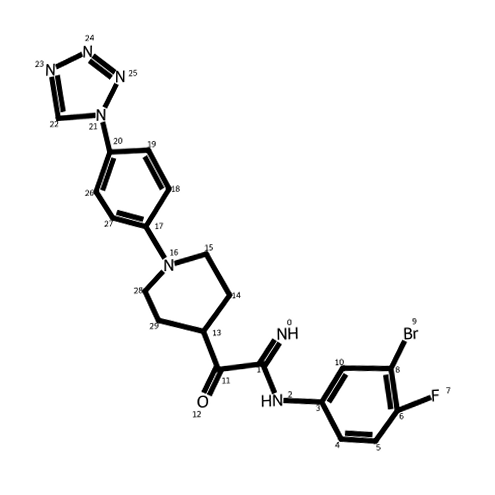 N=C(Nc1ccc(F)c(Br)c1)C(=O)C1CCN(c2ccc(-n3cnnn3)cc2)CC1